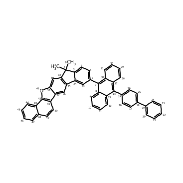 CC1(C)c2ccc(-c3c4ccccc4c(-c4ccc(-c5ccccc5)cc4)c4ccccc34)cc2-c2cc3c(cc21)oc1c2ccccc2ccc31